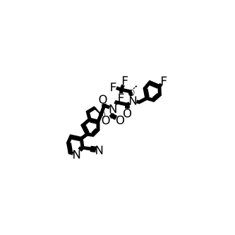 C[C@H](N(Cc1ccc(F)cc1)C(=O)CN1C(=O)O[C@@]2(CCc3cc(-c4cccnc4C#N)ccc32)C1=O)C(F)(F)F